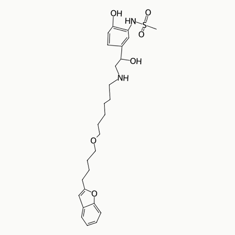 CS(=O)(=O)Nc1cc(C(O)CNCCCCCCOCCCCc2cc3ccccc3o2)ccc1O